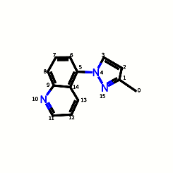 Cc1ccn(-c2cccc3ncccc23)n1